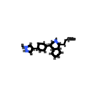 COCCc1ncc(-c2ccc(-c3cnn(C)c3)cc2)c2c[c]ccc12